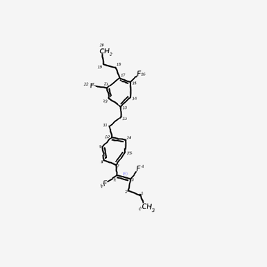 CCC/C(F)=C(\F)c1ccc(CCc2cc(F)c(CCC)c(F)c2)cc1